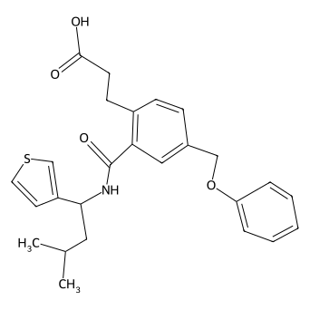 CC(C)CC(NC(=O)c1cc(COc2ccccc2)ccc1CCC(=O)O)c1ccsc1